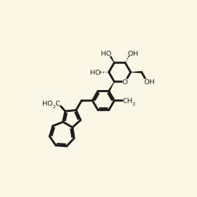 Cc1ccc(Cc2cc3cccccc-3c2C(=O)O)cc1[C@@H]1O[C@H](CO)[C@@H](O)[C@H](O)[C@H]1O